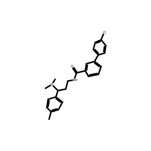 Cc1ccc(C(CCNC(=O)c2cccc(-c3ccc(Cl)cc3)c2)N(C)C)cc1